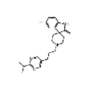 C=C1Nc2ccc(C)cc2C12CCN(CCCc1cnc(C(C)C)nc1)CC2